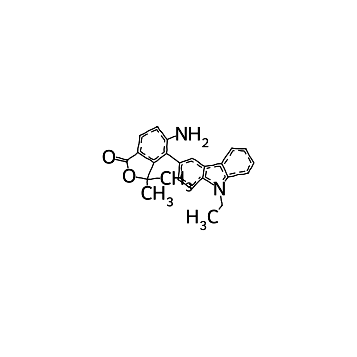 CCn1c2ccccc2c2cc(-c3c(N)ccc4c3C(C)(C)OC4=O)ccc21